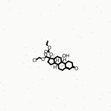 CCOC(=O)O[C@]1(C(=O)OCCl)CC[C@H]2[C@@H]3CCC4=CC(=O)CC[C@]4(C)[C@H]3[C@@H](O)C[C@@]21C